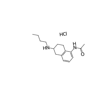 CCCCNC1CCc2c(cccc2NC(C)=O)C1.Cl